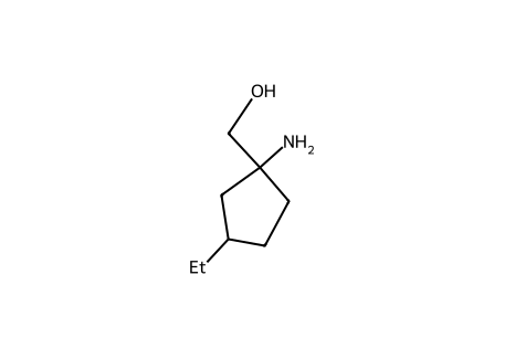 CCC1CCC(N)(CO)C1